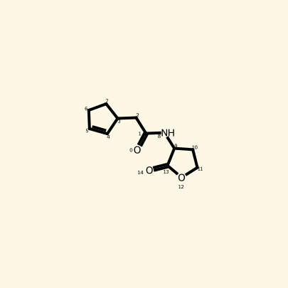 O=C(CC1C=CCC1)NC1CCOC1=O